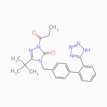 CCC(=O)n1nc(C(C)(C)C)n(Cc2ccc(-c3ccccc3-c3nnn[nH]3)cc2)c1=O